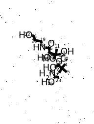 CC(=O)O.CC(C)(C)C(=O)O.CC(C)(CO)C(O)C(=O)NCCCO.CC(N)O